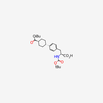 CC(C)COC(=O)[C@H]1CC[C@H](c2ccc(C[C@H](NC(=O)OC(C)(C)C)C(=O)O)cc2)CC1